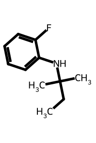 CCC(C)(C)Nc1ccccc1F